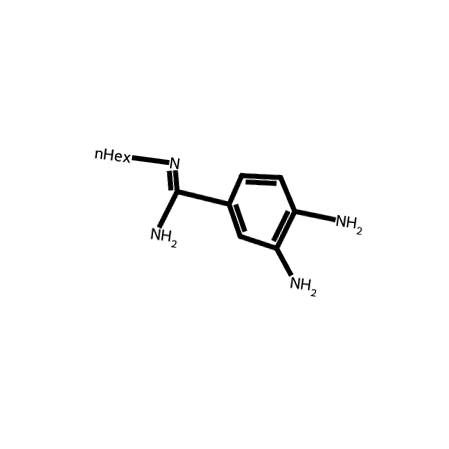 CCCCCC/N=C(\N)c1ccc(N)c(N)c1